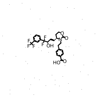 O=C(O)c1ccc(CCN2C(=O)OCC[C@@H]2C=C[C@@H](O)C(F)(F)c2cccc(C(F)(F)F)c2)cc1